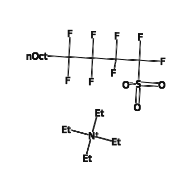 CCCCCCCCC(F)(F)C(F)(F)C(F)(F)C(F)(F)S(=O)(=O)[O-].CC[N+](CC)(CC)CC